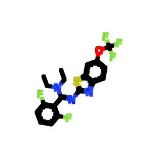 CCN(CC)C(=Nc1nc2ccc(OC(F)(F)F)cc2s1)c1c(F)cccc1F